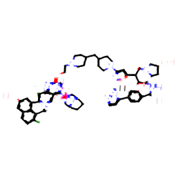 C#Cc1c(F)ccc2cc(O)cc(-c3ncc4c(N5CC6CCC(C5)N6C(=O)OC(C)(C)C)nc(OCCN5CCC(CC6CCN(c7cc(C(C(=O)N8C[C@H](O)C[C@H]8C(=O)NC(C)c8ccc(-c9ccnn9C)cc8)C(C)C)on7)CC6)CC5)nc4c3F)c12